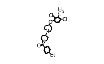 CCc1ccc(C(=O)N2CCC(N3CCC(Oc4ccc(Cl)c(C)c4Cl)CC3)CC2)cc1